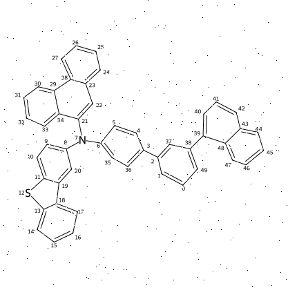 c1cc(-c2ccc(N(c3ccc4sc5ccccc5c4c3)c3cc4ccccc4c4ccccc34)cc2)cc(-c2cccc3ccccc23)c1